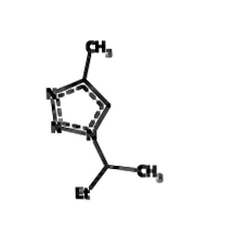 CCC(C)n1cc(C)nn1